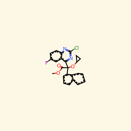 COC(=O)C(OC1CC1)(c1cccc2ccccc12)c1nc(Cl)nc2ccc(I)cc12